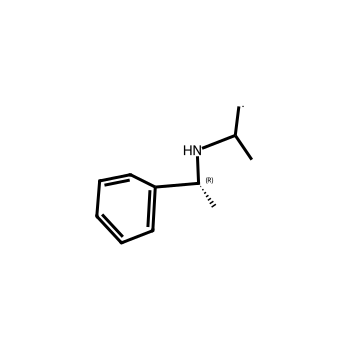 [CH2]C(C)N[C@H](C)c1ccccc1